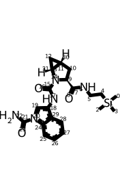 C[Si](C)(C)CCNC(=O)[C@@H]1C[C@H]2C[C@H]2N1C(=O)Nc1cn(C(N)=O)c2ccccc12